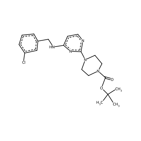 CC(C)(C)OC(=O)N1CCN(c2nccc(NCc3cccc(Cl)c3)n2)CC1